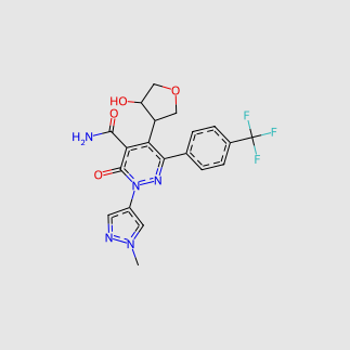 Cn1cc(-n2nc(-c3ccc(C(F)(F)F)cc3)c(C3COCC3O)c(C(N)=O)c2=O)cn1